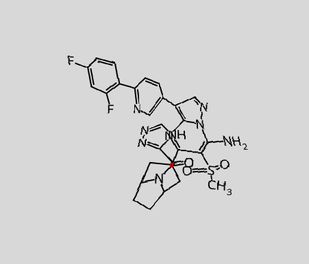 CS(=O)(=O)c1c(C2CC3CCC(C2)N3C(=O)c2nnc[nH]2)nc2c(-c3ccc(-c4ccc(F)cc4F)nc3)cnn2c1N